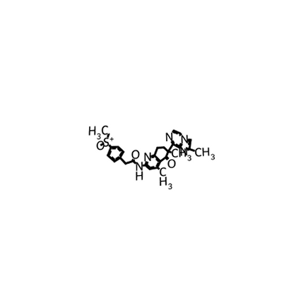 CC[S+]([O-])c1ccc(CC(=O)Nc2cc(C)c3c(n2)CCC(C)(c2nccn4cc(C)nc24)C3=O)cc1